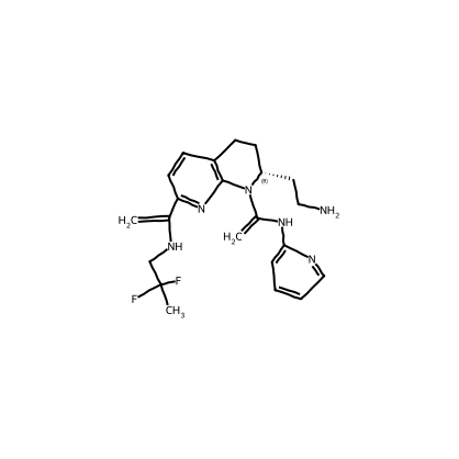 C=C(NCC(C)(F)F)c1ccc2c(n1)N(C(=C)Nc1ccccn1)[C@@H](CCN)CC2